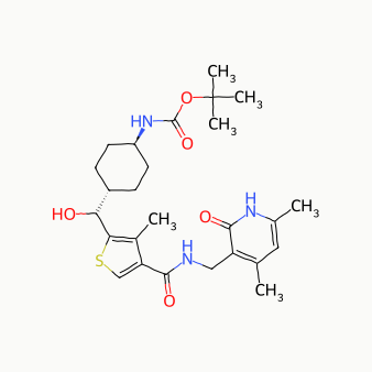 Cc1cc(C)c(CNC(=O)c2csc(C(O)[C@H]3CC[C@H](NC(=O)OC(C)(C)C)CC3)c2C)c(=O)[nH]1